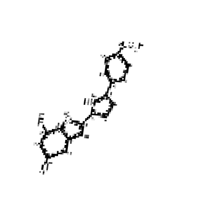 O=C(O)c1ccc(-c2ccc(-c3cc4cc(Cl)cc(F)c4o3)[nH]2)cc1